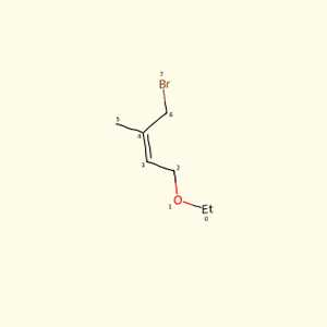 CCOCC=C(C)CBr